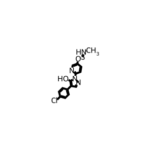 CNSOc1ccc(-n2ncc(-c3ccc(Cl)cc3)c2O)nc1